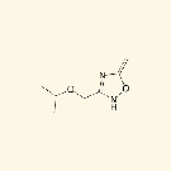 C=C1N=C(COC(C)C)NO1